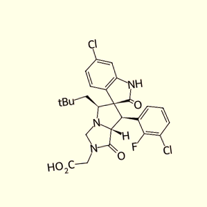 CC(C)(C)C[C@@H]1N2CN(CC(=O)O)C(=O)[C@H]2[C@H](c2cccc(Cl)c2F)[C@]12C(=O)Nc1cc(Cl)ccc12